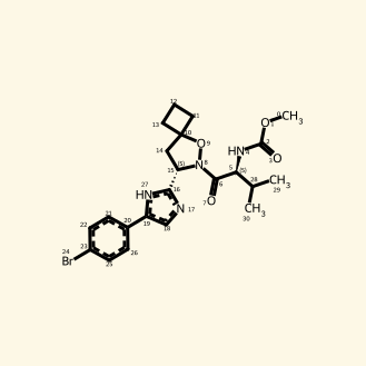 COC(=O)N[C@H](C(=O)N1OC2(CCC2)C[C@H]1c1ncc(-c2ccc(Br)cc2)[nH]1)C(C)C